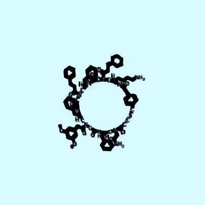 COc1cc(CC(=O)N2CC(=O)N[C@@H](Cc3ccccc3)CN(CC(N)=O)C(=O)CCSCc3ccc(cc3)C(=O)N[C@@H](CCCCN)CN(C(=O)CCC3CCCCC3)CC(=O)N[C@@H](Cc3ccccc3)CN(C(=O)CCc3ccccc3)CC(=O)N[C@@H](Cc3ccccc3)C2)cc(OC)c1